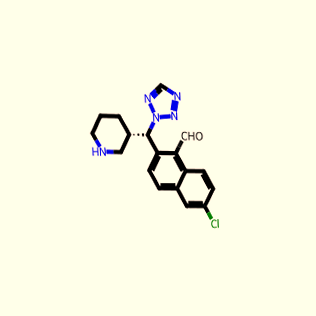 O=Cc1c(C([C@H]2CCCNC2)n2ncnn2)ccc2cc(Cl)ccc12